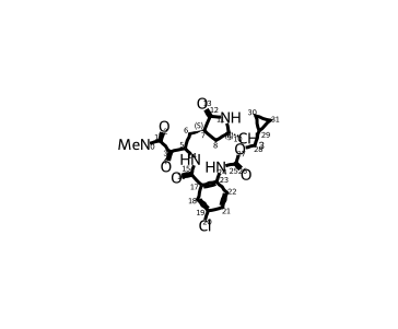 CNC(=O)C(=O)C(C[C@@H]1C[C@@H](C)NC1=O)NC(=O)c1cc(Cl)ccc1NC(=O)OCC1CC1